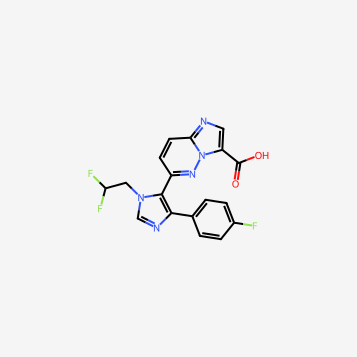 O=C(O)c1cnc2ccc(-c3c(-c4ccc(F)cc4)ncn3CC(F)F)nn12